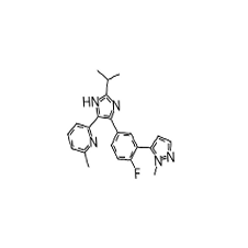 Cc1cccc(-c2[nH]c(C(C)C)nc2-c2ccc(F)c(-c3ccnn3C)c2)n1